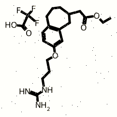 CCOC(=O)CC1CCCc2ccc(OCCCNC(=N)N)cc2C1.O=C(O)C(F)(F)F